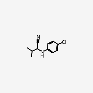 CC(C)C(C#N)Nc1ccc(Cl)cc1